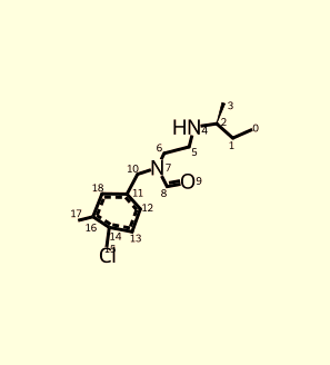 CC[C@H](C)NCCN(C=O)Cc1ccc(Cl)c(C)c1